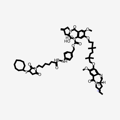 C=C1C[C@H]2[C@H](O)N(C(=O)OCc3ccc(NBC(=O)CCCCCN4C(=O)CC(SC5CCCCCCC5)C4=O)cc3)c3cc(OCCC(C)(C)CCC(C)(C)COc4cc5c(cc4OC)C(=O)N4C/C(=C/C)C[C@H]4C=N5)c(OC)cc3C(=O)N2C1